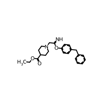 CCOC(=O)C1CCN(CC(=N)Oc2ccc(Cc3ccccc3)cc2)CC1